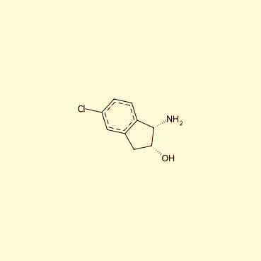 N[C@H]1c2ccc(Cl)cc2C[C@H]1O